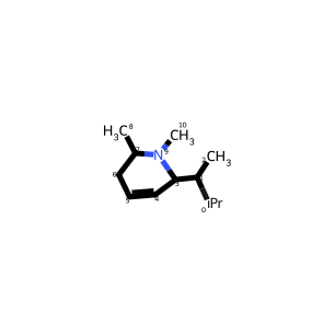 CC(C)C(C)C1C=CCC(C)N1C